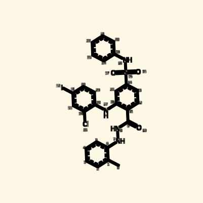 Cc1ccccc1NNC(=O)c1ccc(S(=O)(=O)Nc2ccccc2)cc1Nc1ccc(I)cc1Cl